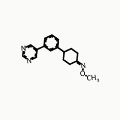 CON=C1CC[C](c2cccc(-c3cncnc3)c2)CC1